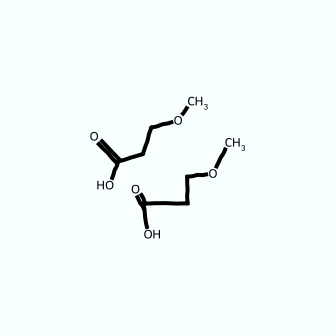 COCCC(=O)O.COCCC(=O)O